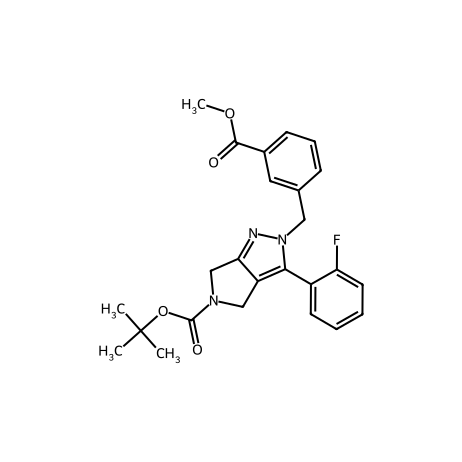 COC(=O)c1cccc(Cn2nc3c(c2-c2ccccc2F)CN(C(=O)OC(C)(C)C)C3)c1